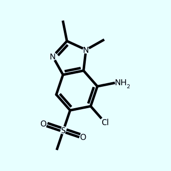 Cc1nc2cc(S(C)(=O)=O)c(Cl)c(N)c2n1C